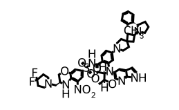 Cc1ccccc1[C@@H]1CCCN1C1CC2(CCN(c3ccc(C(=O)NS(=O)(=O)c4cc5c(c([N+](=O)[O-])c4)N[C@@H](CN4CCC(F)(F)CC4)CO5)c(N4c5cc6cc[nH]c6nc5O[C@@H]5COC[C@H]54)c3)CC2)C1